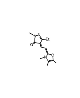 CCC1=NN(C)C(=O)/C1=C/C=C1/OC(C)=C(C)N1C